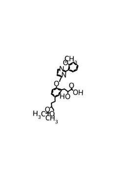 COc1ccccc1-c1nccc(COc2ccc(CCC3COC(C)(C)O3)cc2CC(O)C(=O)O)n1